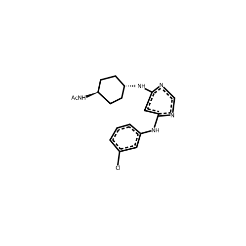 CC(=O)N[C@H]1CC[C@H](Nc2cc(Nc3cccc(Cl)c3)ncn2)CC1